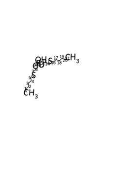 CCCCCCSCCOP(O)OCCSCCCCCC